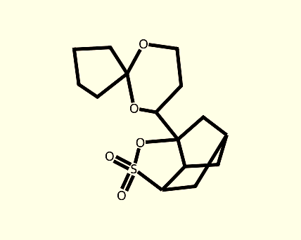 O=S1(=O)OC2(C3CCOC4(CCCC4)O3)CC3CC2C1C3